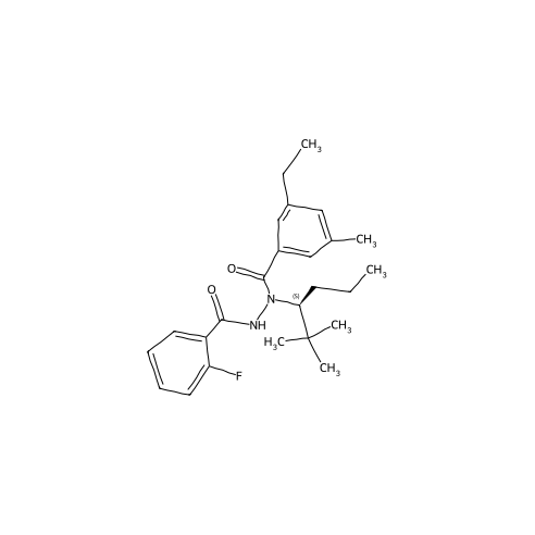 CCC[C@H](N(NC(=O)c1ccccc1F)C(=O)c1cc(C)cc(CC)c1)C(C)(C)C